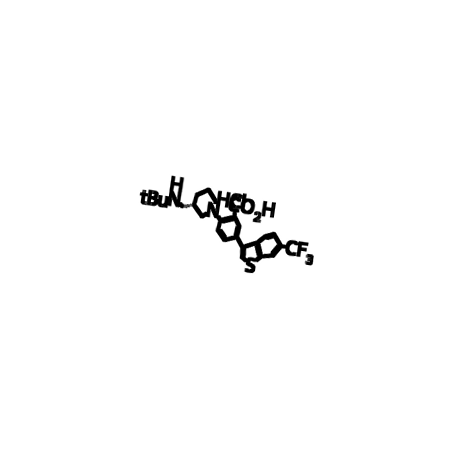 CC(C)(C)NC[C@@H]1CCCN(c2ccc(-c3csc4cc(C(F)(F)F)ccc34)cc2C(=O)O)C1.Cl